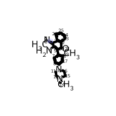 C/N=C1\C(N)=C(c2ccc(N3CCN(C)CC3)cc2C)C(=O)c2ccccc21